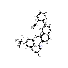 CC(=O)/C=C/c1cnc2ccc(-c3ncccc3C#N)cc2c1Nc1cccc(C(F)(F)F)c1